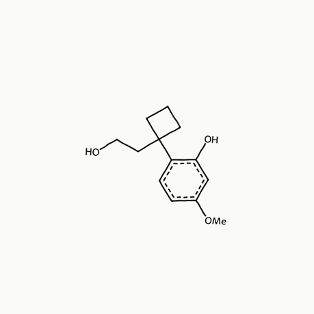 COc1ccc(C2(CCO)CCC2)c(O)c1